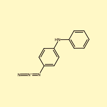 [N-]=[N+]=Nc1ccc(Nc2ccccc2)cc1